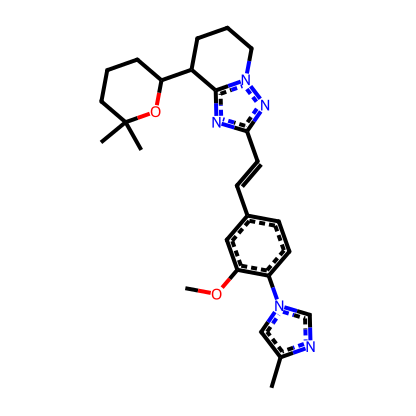 COc1cc(C=Cc2nc3n(n2)CCCC3C2CCCC(C)(C)O2)ccc1-n1cnc(C)c1